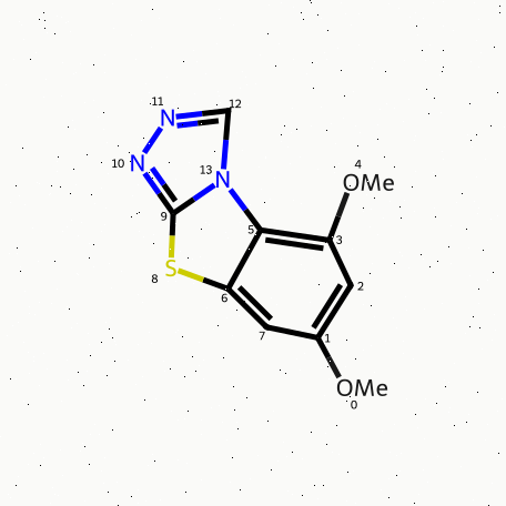 COc1cc(OC)c2c(c1)sc1nncn12